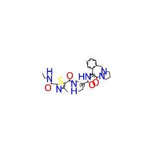 CCNC(=O)c1nc(C)c(C(=O)NC[C@@H](CC)C(=O)N[C@@H]2C(=O)N3CCCN3Cc3ccccc32)s1